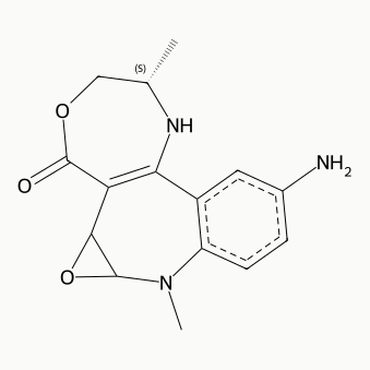 C[C@H]1COC(=O)C2=C(N1)c1cc(N)ccc1N(C)C1OC21